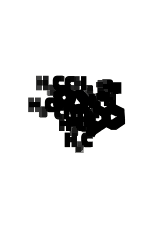 C=C1C2(C)c3cccc4nc(C(C)(C)C)n5c6cc7c(cc6[n+](c5c34)C12C)C(C)(C)CC7(C)C